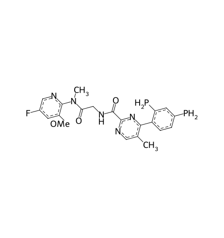 COc1cc(F)cnc1N(C)C(=O)CNC(=O)c1ncc(C)c(-c2ccc(P)cc2P)n1